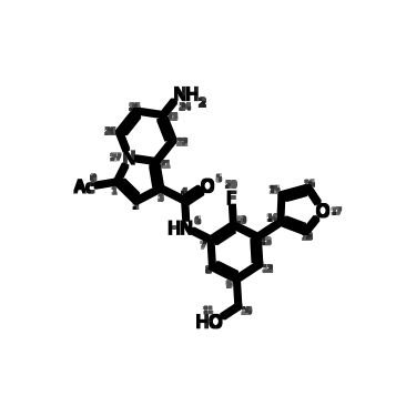 CC(=O)c1cc(C(=O)Nc2cc(CO)cc(-c3ccoc3)c2F)c2cc(N)ccn12